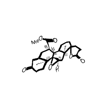 COC(=O)[C@@H]1CC2=CC(=O)CC[C@]2(C)C23O[C@@H]2C[C@@]2(C)C(CCC24CCC(=O)O4)[C@H]13